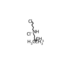 C[N+](C)(C)CCCNCCCCCl.[Cl-]